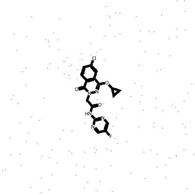 O=C(Cn1nc(OC2CC2)c2cc(Cl)ccc2c1=O)Nc1ncc(F)cn1